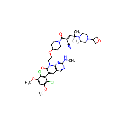 CNc1ncc2cc(-c3c(Cl)c(OC)cc(OC)c3Cl)c(=O)n(CCOC3CCN(C(=O)C(C#N)=CC(C)(C)N4CCN(C5COC5)CC4)CC3)c2n1